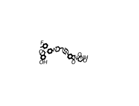 Cc1c(F)cccc1[C@H]1OCc2cc(O)ccc2[C@H]1c1ccc(N2CCC(CN3CCN(c4ccc5c(c4)CN([C@H]4CCC(=O)NC4=O)C5=O)CC3)CC2)cc1